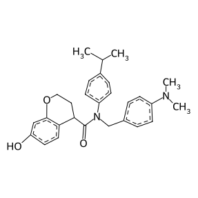 CC(C)c1ccc(N(Cc2ccc(N(C)C)cc2)C(=O)C2CCOc3cc(O)ccc32)cc1